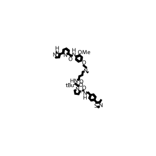 COc1cc(OCCN(C)CCCC(=O)N[C@H](C(=O)N2CCC[C@H]2C(=O)NCc2ccc(-c3scnc3C)cc2)C(C)(C)C)ccc1NC(=O)c1cccc(-c2ccn[nH]2)n1